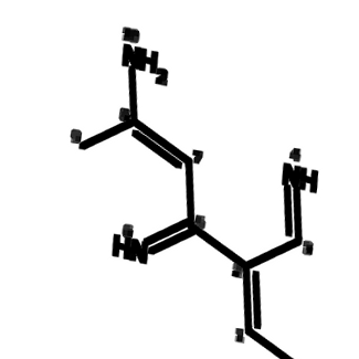 C/C=C(\C=N)C(=N)/C=C(\C)N